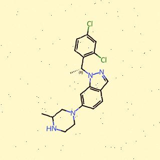 CC1CN(c2ccc3cnn([C@H](C)c4ccc(Cl)cc4Cl)c3c2)CCN1